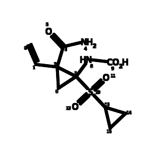 C=CC1(C(N)=O)CC1(NC(=O)O)S(=O)(=O)C1CC1